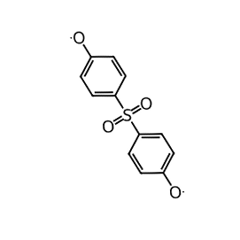 [O]c1ccc(S(=O)(=O)c2ccc([O])cc2)cc1